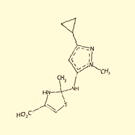 Cn1nc(C2CC2)cc1NC1(C)NC(C(=O)O)=CS1